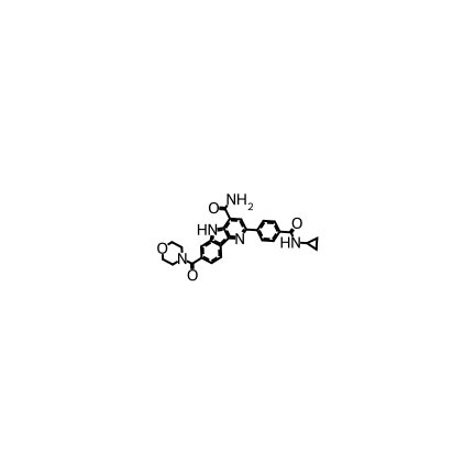 NC(=O)c1cc(-c2ccc(C(=O)NC3CC3)cc2)nc2c1[nH]c1cc(C(=O)N3CCOCC3)ccc12